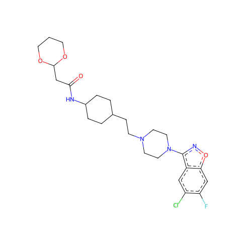 O=C(CC1OCCCO1)NC1CCC(CCN2CCN(c3noc4cc(F)c(Cl)cc34)CC2)CC1